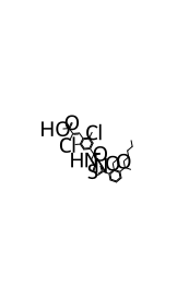 CCCCOC(C)c1cccc(-c2csc(NC(=O)c3cc(Cl)c(C=C(C)C(=O)O)c(Cl)c3)n2)c1OC